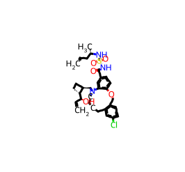 C=CC[C@H](C)NS(=O)(=O)NC(=O)c1ccc2c(c1)N(C[C@@H]1CC[C@H]1[C@@H](O)C=C)CCCCc1cc(Cl)ccc1CO2